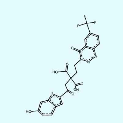 O=C(CC(CCn1nnc2ccc(C(F)(F)F)cc2c1=O)(C(=O)O)C(=O)O)c1cc2ccc(O)cc2s1